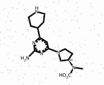 CN(C(=O)O)[C@@H]1CCN(c2cc(C3CCNCC3)nc(N)n2)C1